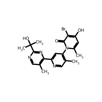 Cc1cnc(-c2nc(C(C)(C)O)ncc2C)cc1-n1c(C)cc(O)c(Br)c1=O